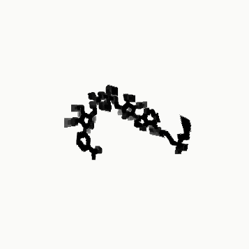 C#CCCC1(CCNc2ncnc3c2ncn3[C@H]2O[C@@H](COP(=O)(O)OP(=O)(O)OC[C@H]3O[C@@H](c4cccc(C(C)=O)c4)C(O)[C@H]3O)C(O)[C@H]2O)N=N1